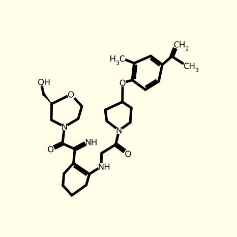 C=C(C)c1ccc(OC2CCN(C(=O)CNC3=C(C(=N)C(=O)N4CCO[C@H](CO)C4)CCCC3)CC2)c(C)c1